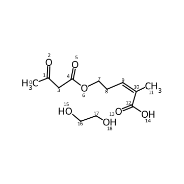 CC(=O)CC(=O)OCCC=C(C)C(=O)O.OCCO